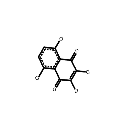 O=C1C(Cl)=C(Cl)C(=O)c2c(Cl)ccc(Cl)c21